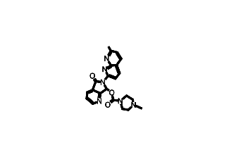 Cc1ccc2ccc(N3C(=O)c4cccnc4C3OC(=O)N3CCN(C)CC3)nc2n1